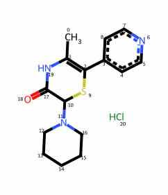 CC1=C(c2ccncc2)SC(N2CCCCC2)C(=O)N1.Cl